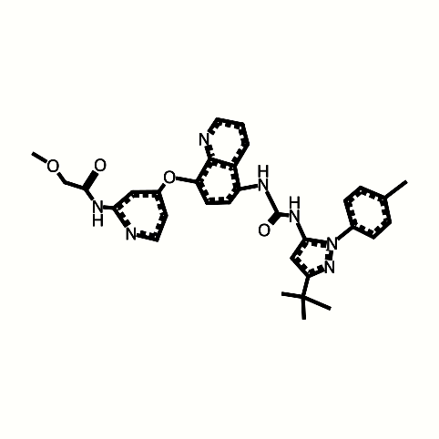 COCC(=O)Nc1cc(Oc2ccc(NC(=O)Nc3cc(C(C)(C)C)nn3-c3ccc(C)cc3)c3cccnc23)ccn1